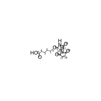 CCCCCC(=O)O.O=C1C=CC(=O)N1.O=C1C=CC(=O)N1